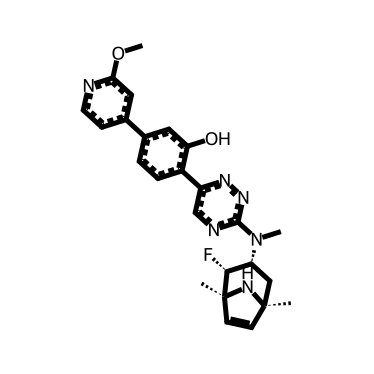 COc1cc(-c2ccc(-c3cnc(N(C)[C@@H]4C[C@@]5(C)C=C[C@](C)(N5)[C@@H]4F)nn3)c(O)c2)ccn1